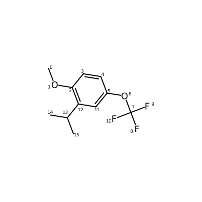 COc1ccc(OC(F)(F)F)cc1C(C)C